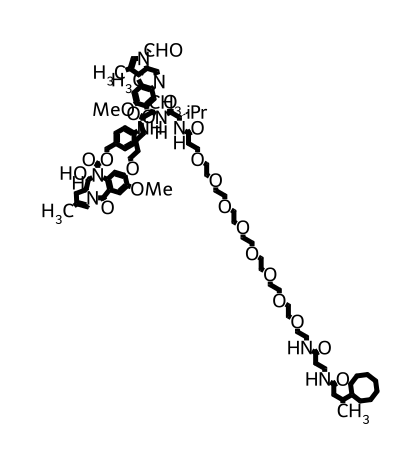 COc1cc(C)c(/N=C\C2CC(C)=CN2C=O)cc1OCCCCCOc1cc2c(cc1OC)C(=O)N1C=C(C)C[C@@H]1C(O)N2C(=O)OCc1ccc(NC(=O)C(C)NC(=O)[C@@H](NC(=O)CCOCCOCCOCCOCCOCCOCCOCCOCCNC(=O)CCNC(=O)CC(C)C2CCCCCCC2)C(C)C)cc1